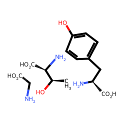 C[C@@H](O)[C@H](N)C(=O)O.NCC(=O)O.N[C@@H](Cc1ccc(O)cc1)C(=O)O